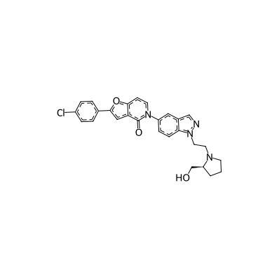 O=c1c2cc(-c3ccc(Cl)cc3)oc2ccn1-c1ccc2c(cnn2CCN2CCC[C@H]2CO)c1